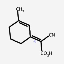 CC1=C/C(=C(\C#N)C(=O)O)CCC1